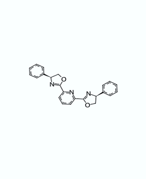 c1ccc([C@H]2COC(c3cccc(C4=N[C@@H](c5ccccc5)CO4)n3)=N2)cc1